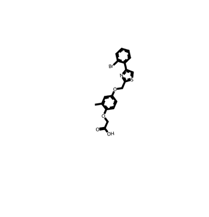 Cc1cc(OCc2nc(-c3ccccc3Br)cs2)ccc1OCC(=O)O